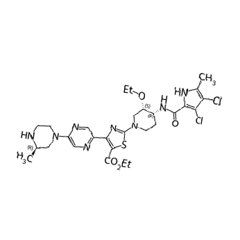 CCOC(=O)c1sc(N2CC[C@@H](NC(=O)c3[nH]c(C)c(Cl)c3Cl)[C@@H](OCC)C2)nc1-c1cnc(N2CCN[C@H](C)C2)cn1